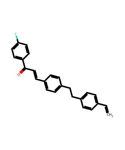 C=Cc1ccc(CCc2ccc(C=CC(=O)c3ccc(F)cc3)cc2)cc1